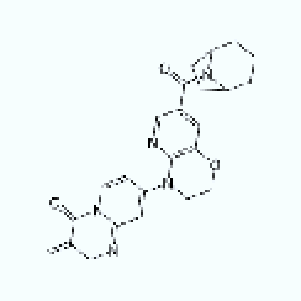 C=C1CN=C2C=C(N3CCOc4cc(C(=O)N5C6CCCC5CC6)cnc43)C=CN2C1=O